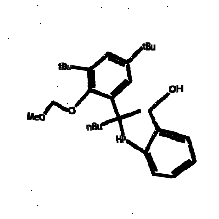 CCCCC(C)(Pc1ccccc1CO)c1cc(C(C)(C)C)cc(C(C)(C)C)c1OCOC